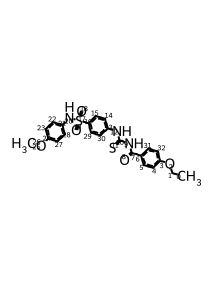 CCOc1ccc(C(=O)NC(=S)Nc2ccc(S(=O)(=O)Nc3ccc(OC)cc3)cc2)cc1